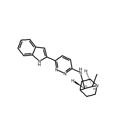 C[C@@H]1[C@@H](Nc2ccc(-c3cc4ccccc4[nH]3)nn2)C2CCN1CC2